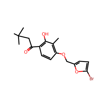 Cc1c(OCc2ccc(Br)o2)ccc(C(=O)CC(C)(C)C)c1O